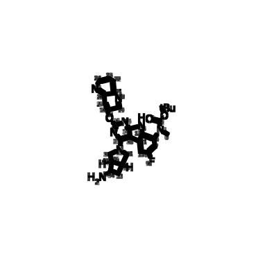 CN(C(=O)OC(C)(C)C)c1cc(F)cc2c1[nH]c1nc(Oc3cnc4cccnc4c3)nc(N3C[C@H]4C[C@@H](N)[C@H]4C3)c12